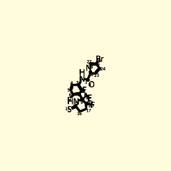 O=C(Nc1ccc(F)c([C@@]2(C(F)F)NC(=S)CCC2(F)F)c1)c1ccc(Br)cn1